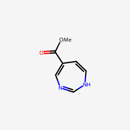 COC(=O)C1=CN=CNC=C1